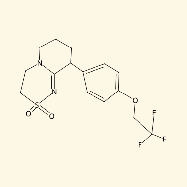 O=S1(=O)CCN2CCCC(c3ccc(OCC(F)(F)F)cc3)C2=N1